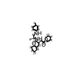 Cc1ccc(NC[C@H](C)NC(=O)[C@@H](CC(=O)N2CCCCC2)CC2CCCCC2)cc1